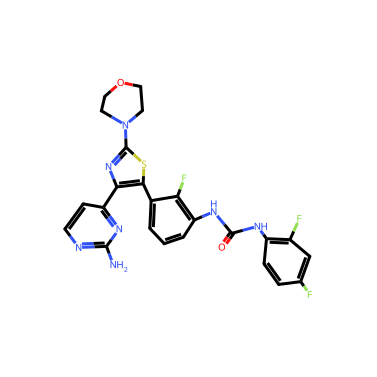 Nc1nccc(-c2nc(N3CCOCC3)sc2-c2cccc(NC(=O)Nc3ccc(F)cc3F)c2F)n1